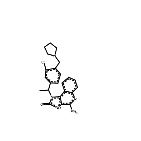 CC(c1ccc(CN2CCCC2)c(Cl)c1)n1c(=O)[nH]c2c(N)nc3ccccc3c21